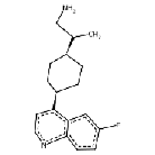 CC(CN)[C@H]1CC[C@@H](c2ccnc3ccc(F)cc32)CC1